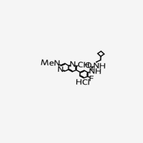 CNc1cc2nc(C)c(-c3ccc(F)c(NC(=O)NCCC4CCC4)c3)cc2cn1.Cl